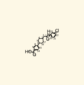 O=C(CC1CCC(c2ccc(C(=O)O)cc2)CC1)Nc1cccc(Cl)c1